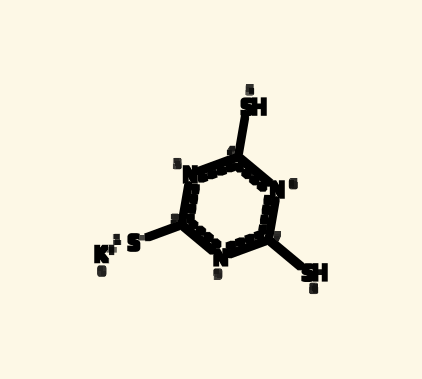 [K+].[S-]c1nc(S)nc(S)n1